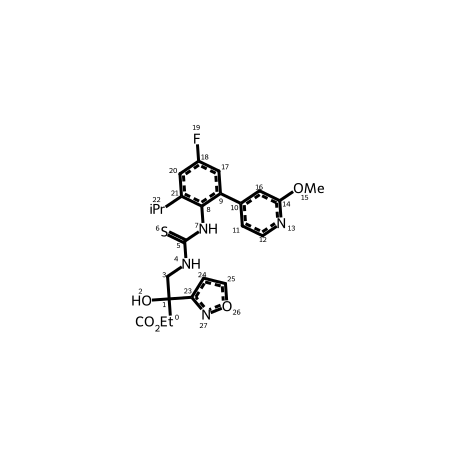 CCOC(=O)C(O)(CNC(=S)Nc1c(-c2ccnc(OC)c2)cc(F)cc1C(C)C)c1ccon1